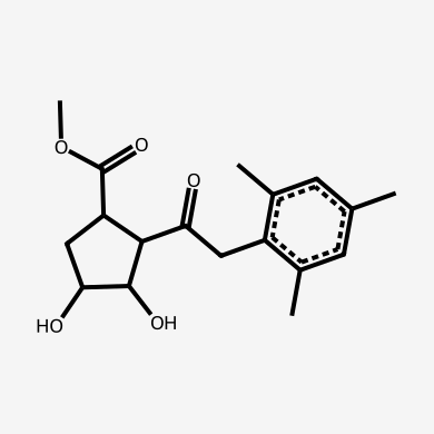 COC(=O)C1CC(O)C(O)C1C(=O)Cc1c(C)cc(C)cc1C